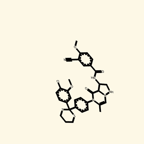 COc1cc(C2(c3ccc(N4C(=O)C5C(NC(=O)c6ccc(OC)c(C#N)c6)CNN5C=C4C)cc3)SCCCS2)ccc1Cl